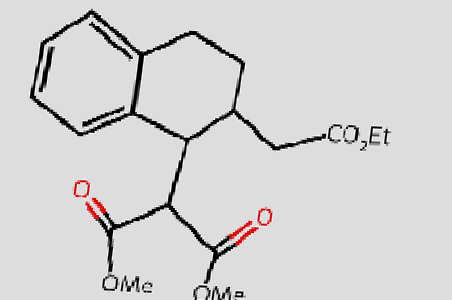 CCOC(=O)CC1CCc2ccccc2C1C(C(=O)OC)C(=O)OC